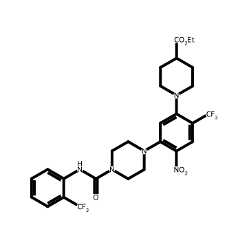 CCOC(=O)C1CCN(c2cc(N3CCN(C(=O)Nc4ccccc4C(F)(F)F)CC3)c([N+](=O)[O-])cc2C(F)(F)F)CC1